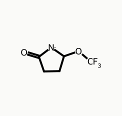 O=C1CCC(OC(F)(F)F)[N]1